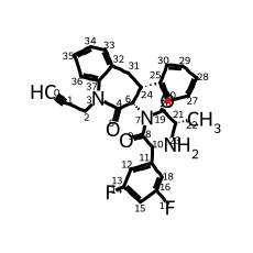 C#CCN1C(=O)[C@@H](N(C(=O)Cc2cc(F)cc(F)c2)C(=O)[C@H](C)N)[C@@H](c2ccccc2)Cc2ccccc21